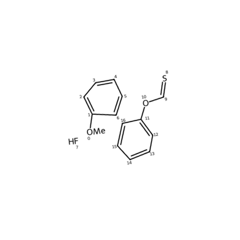 COc1ccccc1.F.S=COc1ccccc1